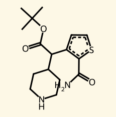 CC(C)(C)OC(=O)C(c1ccsc1C(N)=O)C1CCNCC1